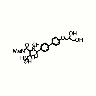 CNC(=O)C(C(=O)NO)N(C)C(=O)c1ccc(-c2ccc(OCC(O)CO)cc2)cc1